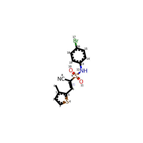 Cc1ccsc1/C=C(\C#N)S(=O)(=O)Nc1ccc(Br)cc1